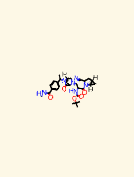 CNC(=O)c1ccc(C(C)N2C(=O)C3C[C@H]2CN3CC(NC(=O)OC(C)(C)C)C(=O)N2C(C#N)C[C@@H]3C[C@@H]32)cc1